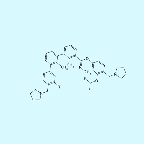 C/N=C(\Oc1ccc(CN2CCCC2)c(OC(F)F)c1)c1cccc(-c2cccc(-c3ccc(CN4CCCC4)c(F)c3)c2C)c1C